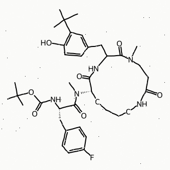 CN1CCC(=O)NCCCC[C@H](N(C)C(=O)[C@H](Cc2ccc(F)cc2)NC(=O)OC(C)(C)C)C(=O)NC(Cc2ccc(O)c(C(C)(C)C)c2)C1=O